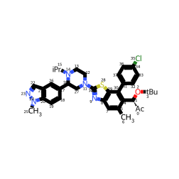 CC(=O)[C@@H](OC(C)(C)C)c1c(C)cc2nc(N3CCN(C(C)C)C(c4ccc5c(cnn5C)c4)C3)sc2c1-c1ccc(Cl)cc1